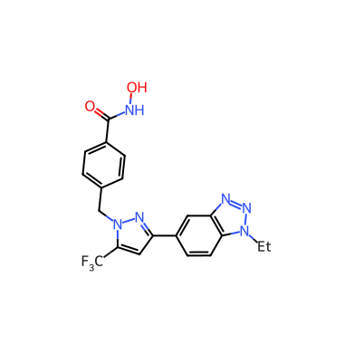 CCn1nnc2cc(-c3cc(C(F)(F)F)n(Cc4ccc(C(=O)NO)cc4)n3)ccc21